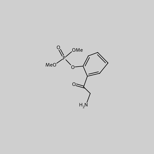 COP(=O)(OC)Oc1ccccc1C(=O)CN